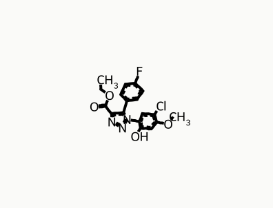 CCOC(=O)c1nnn(-c2cc(Cl)c(OC)cc2O)c1-c1ccc(F)cc1